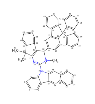 CN1C(n2c3ccccc3c3cc4ccccc4cc32)=NC2=C(c3ccccc3C2(C)C)C1c1ccc2c(c1)C1=C(CCC=C1)C2(c1ccccc1)c1ccccc1